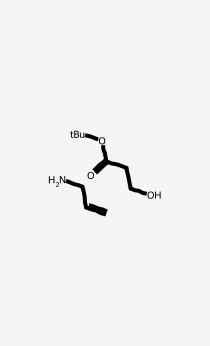 C=CCN.CC(C)(C)OC(=O)CCO